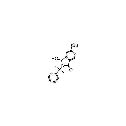 CC(C)(C)c1ccc2c(c1)C(O)N(C(C)(C)c1ccccc1)C2=O